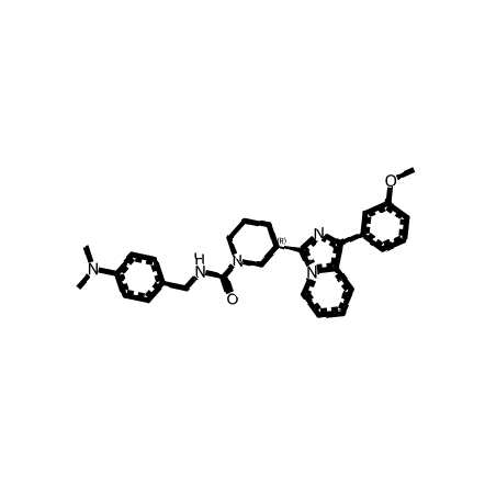 COc1cccc(-c2nc([C@@H]3CCCN(C(=O)NCc4ccc(N(C)C)cc4)C3)n3ccccc23)c1